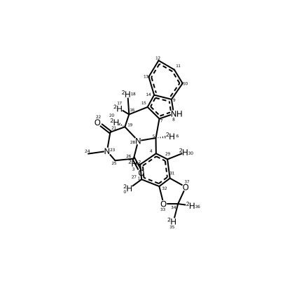 [2H]c1c([2H])c([C@]2([2H])c3[nH]c4ccccc4c3C([2H])([2H])[C@]3([2H])C(=O)N(C)CC(=O)N23)c([2H])c2c1OC([2H])([2H])O2